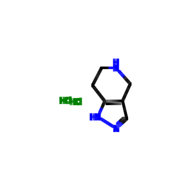 Cl.Cl.c1n[nH]c2c1CNCC2